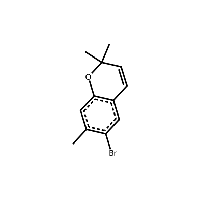 Cc1cc2c(cc1Br)C=CC(C)(C)O2